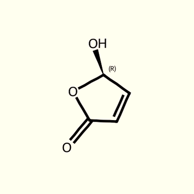 O=C1C=C[C@H](O)O1